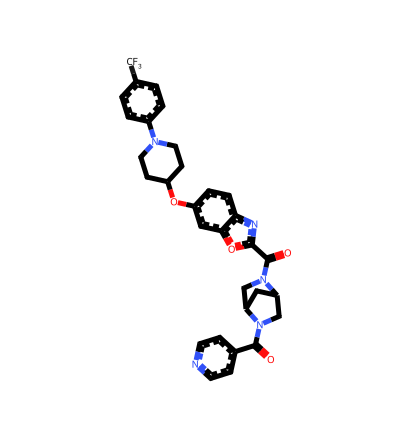 O=C(c1ccncc1)N1CC2CC1CN2C(=O)c1nc2ccc(OC3CCN(c4ccc(C(F)(F)F)cc4)CC3)cc2o1